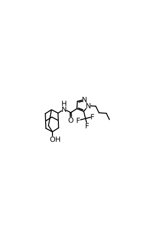 CCCCn1ncc(C(=O)NC2C3CC4CC2CC(O)(C4)C3)c1C(F)(F)F